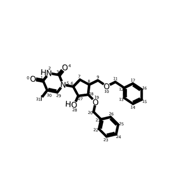 O=c1[nH]c(=O)n(C2CC(COCc3ccccc3)C(OCc3ccccc3)C2O)cc1I